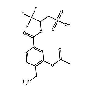 BCc1ccc(C(=O)OC(CS(=O)(=O)O)C(F)(F)F)cc1OC(C)=O